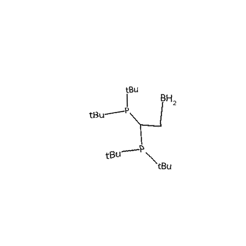 BCC(P(C(C)(C)C)C(C)(C)C)P(C(C)(C)C)C(C)(C)C